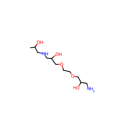 CC(O)CNCC(O)COCCOCC(O)CN